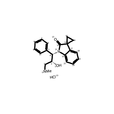 CNC[C@@H](O)[C@H](c1ccccc1)N1C(=O)C2(CC2)c2ccccc21.Cl